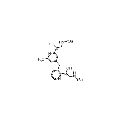 CC(C)(C)NC[C@H](O)c1cc(Cc2cccnc2[C@@H](O)CNC(C)(C)C)cc(C(F)(F)F)n1